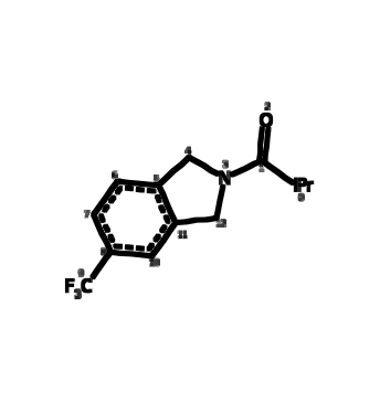 CC(C)C(=O)N1Cc2ccc(C(F)(F)F)cc2C1